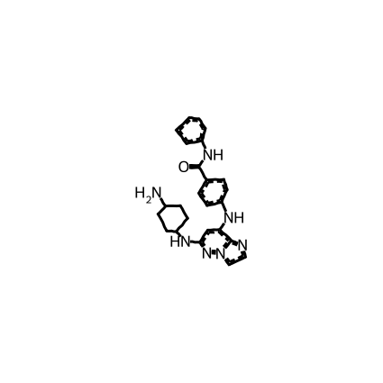 NC1CCC(Nc2cc(Nc3ccc(C(=O)Nc4ccccc4)cc3)c3nccn3n2)CC1